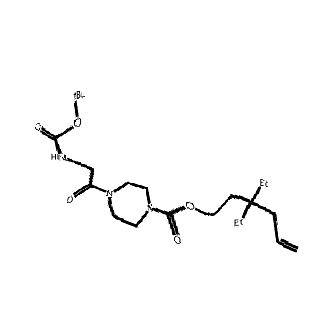 C=CCC(CC)(CC)CCOC(=O)N1CCN(C(=O)CNC(=O)OC(C)(C)C)CC1